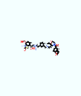 O=C(c1ccc2occc2c1)N1CCOC2(CCN(Cc3cccc(CCNC[C@H](O)c4ccc(O)c5[nH]c(=O)sc45)c3)CC2)C1